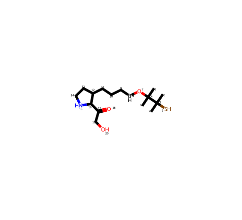 CC(C)(S)C(C)(C)OBCCCC1CCNC1C(=O)CO